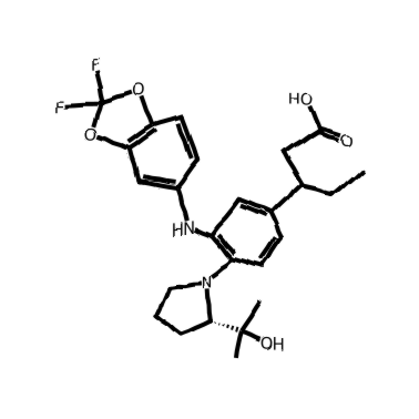 CCC(CC(=O)O)c1ccc(N2CCC[C@H]2C(C)(C)O)c(Nc2ccc3c(c2)OC(F)(F)O3)c1